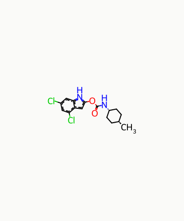 C[C@H]1CC[C@H](NC(=O)Oc2cc3c(Cl)cc(Cl)cc3[nH]2)CC1